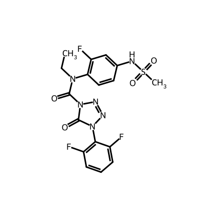 CCN(C(=O)n1nnn(-c2c(F)cccc2F)c1=O)c1ccc(NS(C)(=O)=O)cc1F